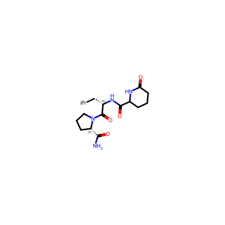 CC(C)C[C@H](NC(=O)C1CCCC(=O)N1)C(=O)N1CCC[C@H]1C(N)=O